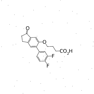 O=C(O)CCCOc1cc2c(cc1-c1ccc(F)c(F)c1)CCC2=O